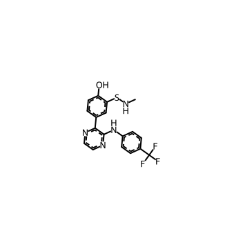 CNSc1cc(-c2nccnc2Nc2ccc(C(F)(F)F)cc2)ccc1O